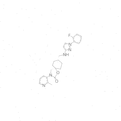 Cc1ncccc1N1C[C@]2(CC[C@@H](CNc3ccn(-c4ccccc4F)n3)CC2)OC1=O